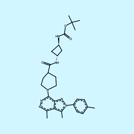 Cc1ccc(-n2nc3c(N4CCC(C(=O)N[C@H]5C[C@H](NC(=O)OC(C)(C)C)C5)CC4)nnc(C)c3c2C)cc1